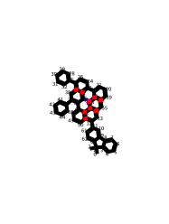 CC1(C)c2ccccc2-c2cc(-c3ccc(N(c4ccccc4-c4ccc(-c5ccccc5)cc4)c4cccc(-c5ccccc5)c4-c4ccccc4-c4ccccc4)cc3)ccc21